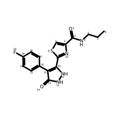 CCCNC(=O)c1csc(-c2[nH][nH]c(=O)c2-c2ccc(F)cc2)n1